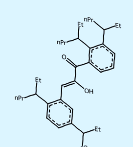 CCCC(CC)c1ccc(C(CC)CCC)c(C=C(O)C(=O)c2cccc(C(CC)CCC)c2C(CC)CCC)c1